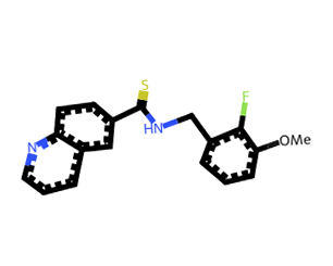 COc1cccc(CNC(=S)c2ccc3ncccc3c2)c1F